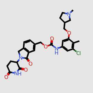 Cc1c(Cl)cc(NC(=O)OCc2ccc3c(c2)C(=O)N(C2CCC(=O)NC2=O)C3)cc1OCC1CCN(C)C1